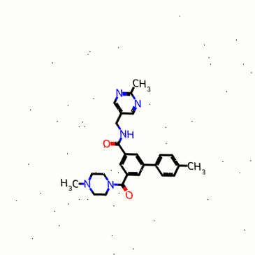 Cc1ccc(-c2cc(C(=O)NCc3cnc(C)nc3)cc(C(=O)N3CCN(C)CC3)c2)cc1